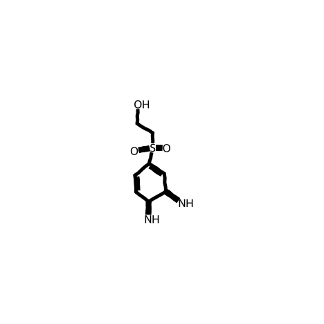 N=C1C=CC(S(=O)(=O)CCO)=CC1=N